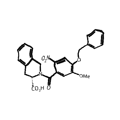 COc1cc(C(=O)N2Cc3ccccc3C[C@H]2C(=O)O)c([N+](=O)[O-])cc1OCc1ccccc1